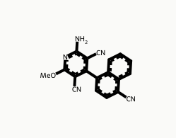 COc1nc(N)c(C#N)c(-c2ccc(C#N)c3ccccc23)c1C#N